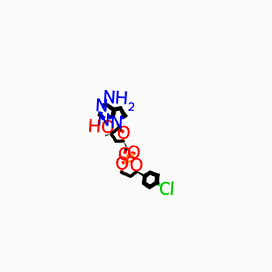 C[C@@]1(O)C[C@@H](COP2(=O)OCC[C@H](c3ccc(Cl)cc3)O2)O[C@H]1n1ccc2c(N)ncnc21